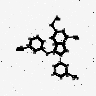 CCCCOc1nc(N)c2nc(-c3cncc(C)c3)n(Cc3cccc(NC)c3)c2n1